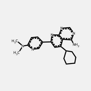 CN(C)c1ccc(-c2cc(C3CCCCC3)c3c(N)ncnc3n2)cn1